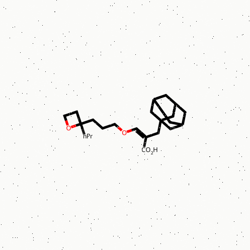 CCCC1(CCCOC=C(CC23CC4CC(CC(C4)C2)C3)C(=O)O)CCO1